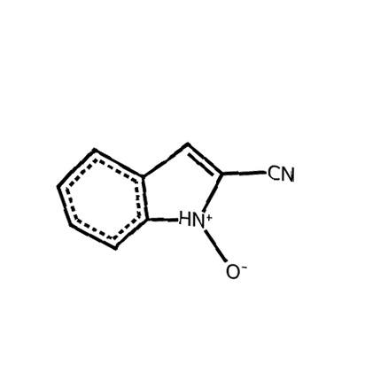 N#CC1=Cc2ccccc2[NH+]1[O-]